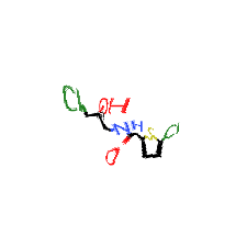 O=C(NC[C@H](O)CCl)c1ccc(Cl)s1